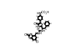 O=C(O)Nc1ccc(-c2nc(C(Cc3ccccc3)NC(=O)NCc3cc(Cl)cc4sc(Cl)nc34)[nH]c2Cl)cc1